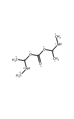 CNC(C)OC(=O)OC(C)NC